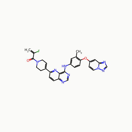 C=C(F)C(=O)N1CC=C(c2ccc3ncnc(Nc4ccc(Oc5ccn6ncnc6c5)c(C)c4)c3n2)CC1